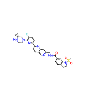 CS(=O)(=O)N1CCc2ccc(C(=O)NCc3cc4nc(-c5ccc(F)c(N6CCNC7(CC7)C6)n5)ccc4cn3)cc21